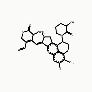 Cc1c(F)cc2nc3c(c4c2c1SCC4N1CCCC(O)C1=O)CN(C)/C3=C\C1=C(C=O)COC(=O)C1O